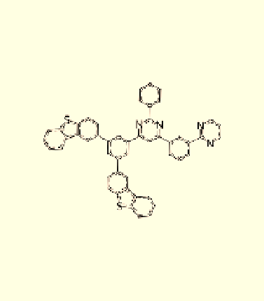 c1ccc(-c2nc(-c3cc(-c4ccc5sc6ccccc6c5c4)cc(-c4ccc5sc6ccccc6c5c4)c3)cc(-c3cccc(-c4ncccn4)c3)n2)cc1